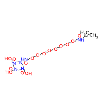 CC(C)CCCC(=O)NCCOCCOCCOCCOCCOCCOCCOCCOCCNC(=O)CN1CCN(CC(=O)O)CCN(CC(=O)O)CCN(CC(=O)O)CC1